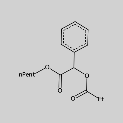 CCCCCOC(=O)C(OC(=O)CC)c1ccccc1